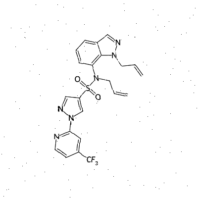 C=CCN(c1cccc2cnn(CC=C)c12)S(=O)(=O)c1cnn(-c2cc(C(F)(F)F)ccn2)c1